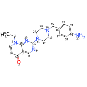 CCn1ccc(=O)c2cnc(N3CCN(Cc4ccc(N)cc4)CC3)nc21